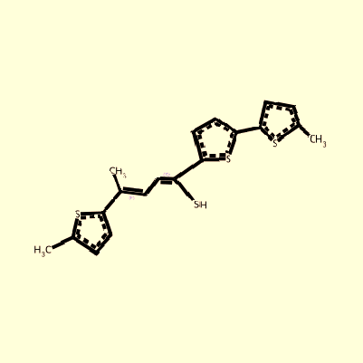 C/C(=C\C=C(/S)c1ccc(-c2ccc(C)s2)s1)c1ccc(C)s1